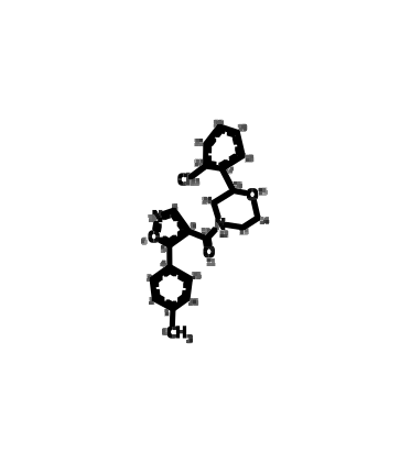 Cc1ccc(-c2oncc2C(=O)N2CCOC(c3ccccc3Cl)C2)cc1